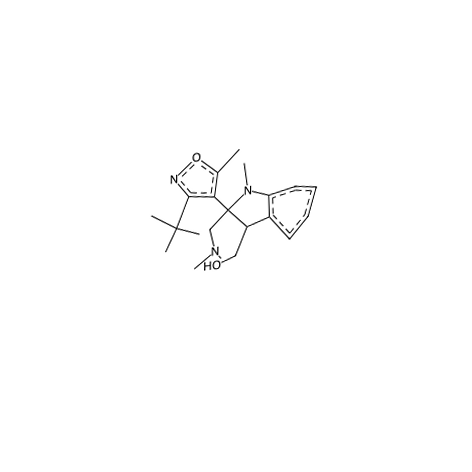 Cc1onc(C(C)(C)C)c1C1(CN(C)C)C(CO)c2ccccc2N1C